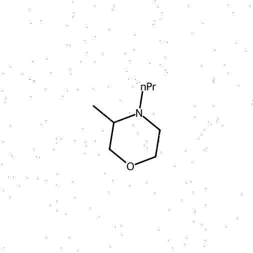 CCCN1CCOCC1C